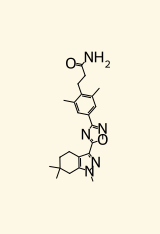 Cc1cc(-c2noc(-c3nn(C)c4c3CCC(C)(C)C4)n2)cc(C)c1CCC(N)=O